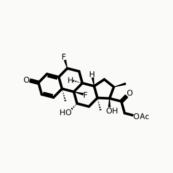 CC(=O)OCC(=O)[C@@]1(O)[C@H](C)C[C@H]2[C@@H]3C[C@H](F)C4=CC(=O)C=C[C@]4(C)[C@@]3(F)[C@@H](O)C[C@@]21C